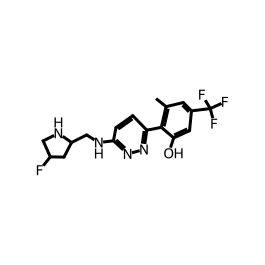 Cc1cc(C(F)(F)F)cc(O)c1-c1ccc(NCC2CC(F)CN2)nn1